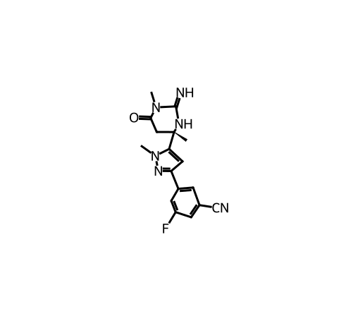 CN1C(=N)N[C@](C)(c2cc(-c3cc(F)cc(C#N)c3)nn2C)CC1=O